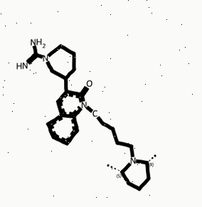 C[C@@H]1CCC[C@H](C)N1CCCCCn1c(=O)c(C2CCCN(C(=N)N)C2)cc2ccccc21